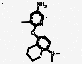 Cc1cc(N)cnc1Oc1ccc(N(C)C)c2c1CCCC2